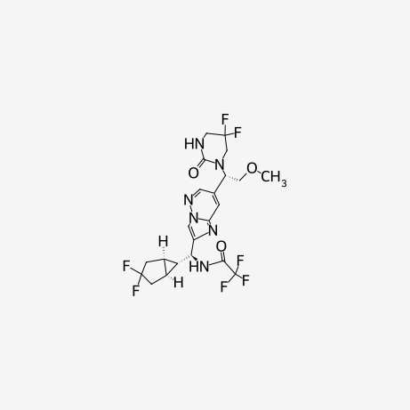 COC[C@H](c1cnn2cc([C@@H](NC(=O)C(F)(F)F)[C@H]3[C@@H]4CC(F)(F)C[C@@H]43)nc2c1)N1CC(F)(F)CNC1=O